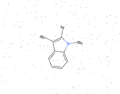 [2H]c1c(C(C)(C)C)c2ccccc2n1C(C)(C)C